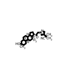 CC(C)(C#N)c1cnn(CC(=O)[C@H]2CC[C@H]3C4CCC5C[C@](C)(O)CCC5(F)[C@H]4CC[C@]23C)c1